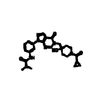 CN(C)C(=O)Nc1cccc(-n2ncc3c(=O)n(CC4(O)CCN(C(=O)C5CC5)CC4)cnc32)c1